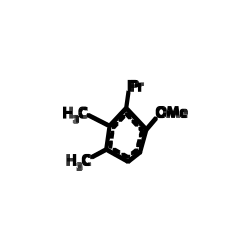 COc1ccc(C)c(C)c1C(C)C